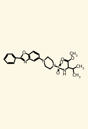 COC(=O)C(NS(=O)(=O)N1CCN(c2ccc3oc(-c4ccccc4)nc3c2)CC1)C(C)C